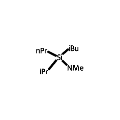 CCC[Si](NC)(C(C)C)C(C)CC